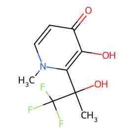 Cn1ccc(=O)c(O)c1C(C)(O)C(F)(F)F